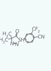 CC1(C)N=N[SH](c2ccc(C#N)c(C(F)(F)F)c2)C1=O